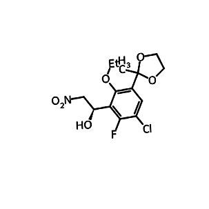 CCOc1c(C2(C)OCCO2)cc(Cl)c(F)c1[C@@H](O)C[N+](=O)[O-]